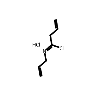 C=CCN=C(Cl)CC=C.Cl